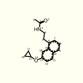 CC(=O)NCCc1c[c]cc2ccc(OC3CC3)cc12